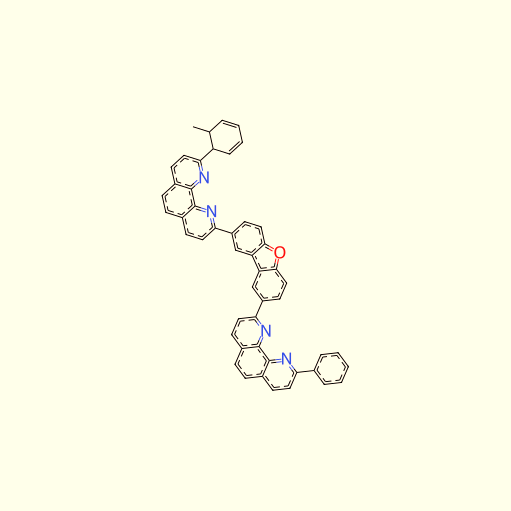 CC1C=CC=CC1c1ccc2ccc3ccc(-c4ccc5oc6ccc(-c7ccc8ccc9ccc(-c%10ccccc%10)nc9c8n7)cc6c5c4)nc3c2n1